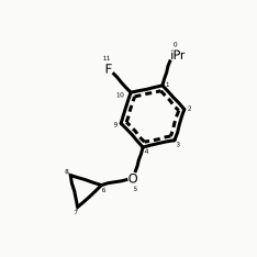 CC(C)c1ccc(OC2CC2)cc1F